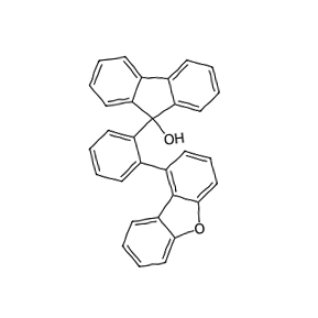 OC1(c2ccccc2-c2cccc3oc4ccccc4c23)c2ccccc2-c2ccccc21